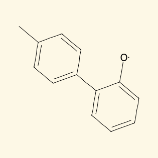 Cc1ccc(-c2ccccc2[O])cc1